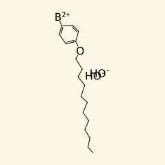 [B+2]c1ccc(OCCCCCCCCCCCC)cc1.[OH-].[OH-]